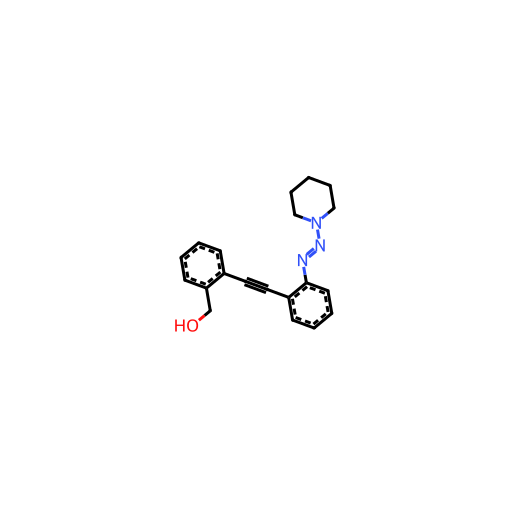 OCc1ccccc1C#Cc1ccccc1N=NN1CCCCC1